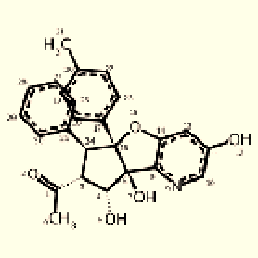 CC(=O)[C@H]1[C@@H](O)[C@@]2(O)c3ncc(O)cc3O[C@@]2(c2ccc(C)cc2)[C@@H]1c1ccccc1